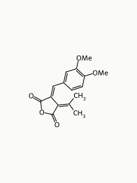 COc1ccc(/C=C2/C(=O)OC(=O)C2=C(C)C)cc1OC